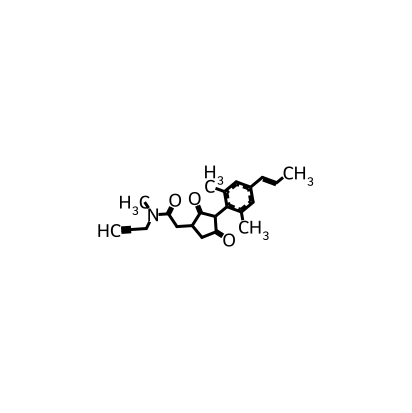 C#CCN(C)C(=O)CC1CC(=O)C(c2c(C)cc(/C=C/C)cc2C)C1=O